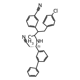 CC(N[C@@H](CC#N)c1cccc(-c2ccccc2)c1)C(Cc1ccc(Cl)cc1)c1cccc(C#N)c1